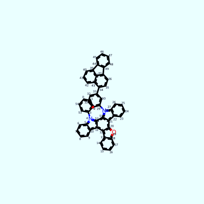 c1ccc(-n2c3ccccc3c3c4c5ccccc5oc4c4c5ccccc5n(-c5cccc(-c6ccc7c8c(cccc68)-c6ccccc6-7)c5)c4c32)cc1